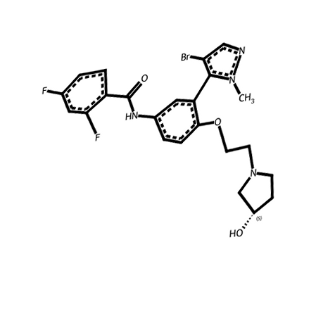 Cn1ncc(Br)c1-c1cc(NC(=O)c2ccc(F)cc2F)ccc1OCCN1CC[C@H](O)C1